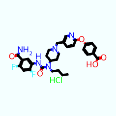 CCCCN(C(=O)Nc1cc(C(N)=O)c(F)cc1F)C1CCN(Cc2ccc(Oc3ccc(C(=O)O)cc3)nc2)CC1.Cl